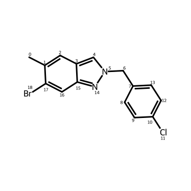 Cc1cc2cn(Cc3ccc(Cl)cc3)nc2cc1Br